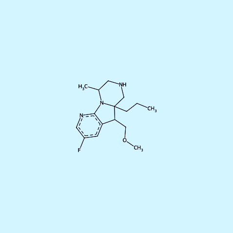 CCCC12CNCC(C)N1c1ncc(F)cc1C2COC